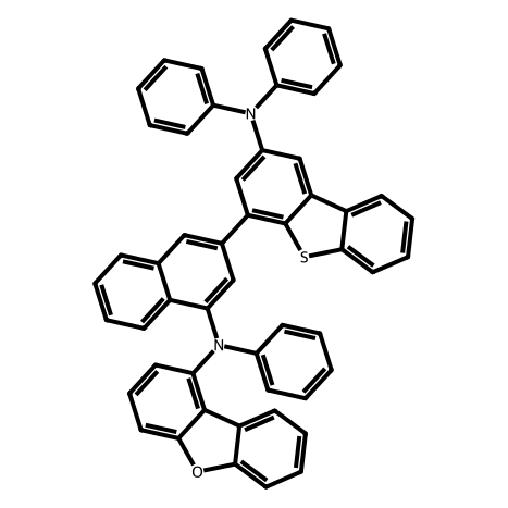 c1ccc(N(c2ccccc2)c2cc(-c3cc(N(c4ccccc4)c4cccc5oc6ccccc6c45)c4ccccc4c3)c3sc4ccccc4c3c2)cc1